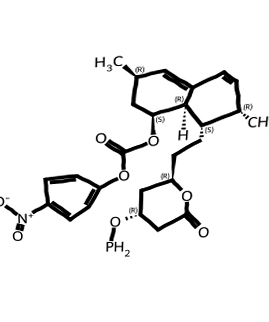 C[C@H]1C=C2C=C[C@H](C)[C@H](CC[C@@H]3C[C@@H](OP)CC(=O)O3)[C@H]2[C@@H](OC(=O)Oc2ccc([N+](=O)[O-])cc2)C1